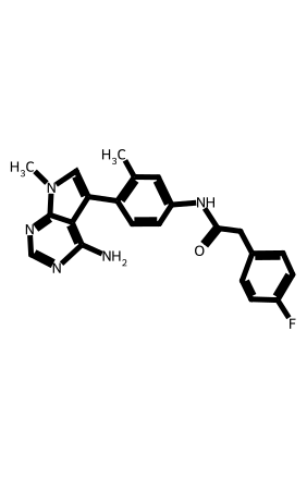 Cc1cc(NC(=O)Cc2ccc(F)cc2)ccc1-c1cn(C)c2ncnc(N)c12